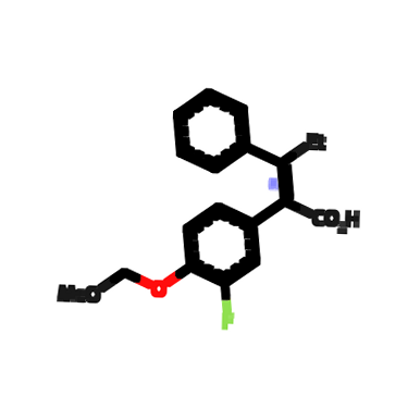 CC/C(=C(\C(=O)O)c1ccc(OCOC)c(F)c1)c1ccccc1